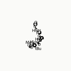 COc1c(NC(=O)c2cc3cccc(Oc4ccnc(NCCN5CCOCC5)n4)c3n2C)cc(C(C)(C)C)cc1NS(C)(=O)=O